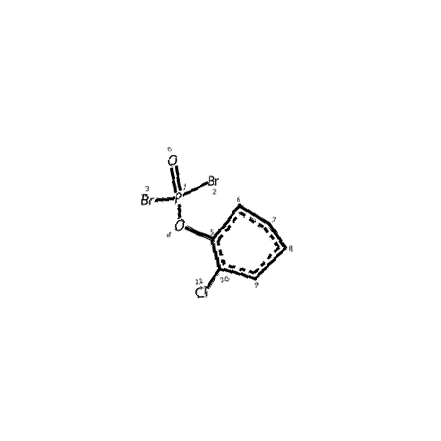 O=P(Br)(Br)Oc1ccccc1Cl